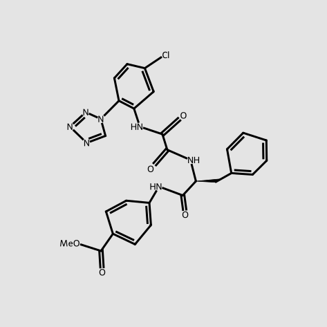 COC(=O)c1ccc(NC(=O)[C@H](Cc2ccccc2)NC(=O)C(=O)Nc2cc(Cl)ccc2-n2cnnn2)cc1